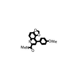 CNC(=O)c1cc(-c2ccc(OC)cc2)c2c3c(ccc2n1)OCO3